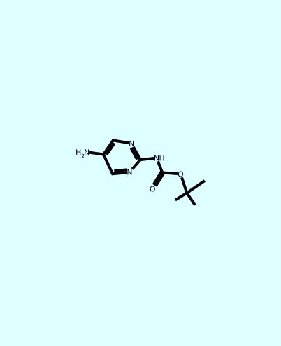 CC(C)(C)OC(=O)Nc1ncc(N)cn1